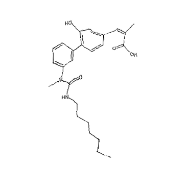 CCCCCCCNC(=O)N(C)c1cccc(-c2ccc(C=C(C)C(=O)O)cc2O)c1